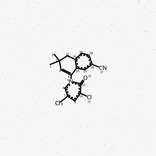 CC1(C)C=C(n2cc(Cl)cc(Cl)c2=O)c2cc(C#N)ccc2C1